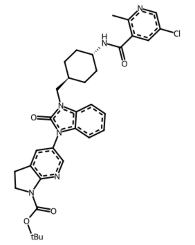 Cc1ncc(Cl)cc1C(=O)N[C@H]1CC[C@H](Cn2c(=O)n(-c3cnc4c(c3)CCN4C(=O)OC(C)(C)C)c3ccccc32)CC1